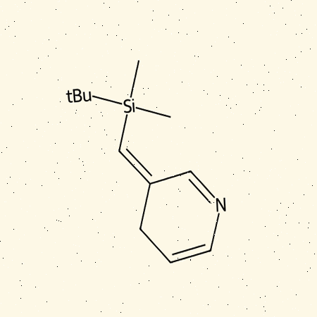 CC(C)(C)[Si](C)(C)C=C1C=NC=CC1